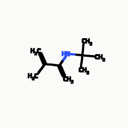 C=C(C)C(=C)NC(C)(C)C